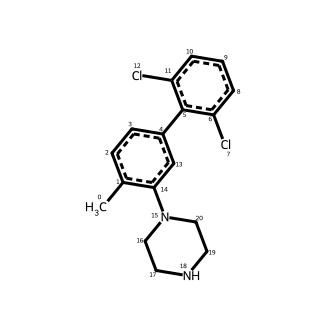 Cc1[c]cc(-c2c(Cl)cccc2Cl)cc1N1CCNCC1